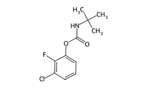 CC(C)(C)NC(=O)Oc1cccc(Cl)c1F